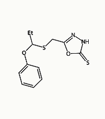 CCC(Oc1ccccc1)SCc1n[nH]c(=S)o1